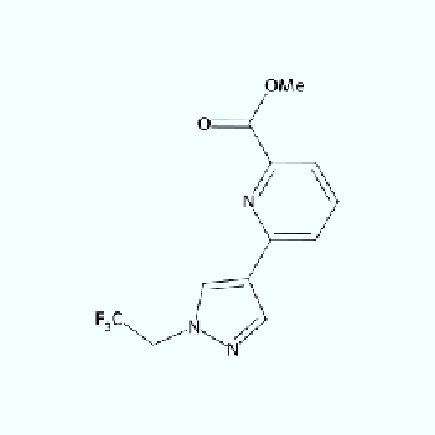 COC(=O)c1cccc(-c2cnn(CC(F)(F)F)c2)n1